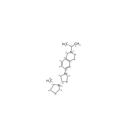 CC(C)N1CCc2cc(N3CC[C@H](N4CCC[C@@H]4C)C3)ccc2C1